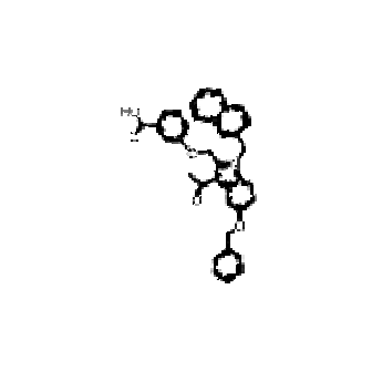 CC(=O)c1c(COc2cccc(C(=O)O)c2)n(Cc2ccc3ccccc3c2)c2ccc(OCc3ccccc3)cc12